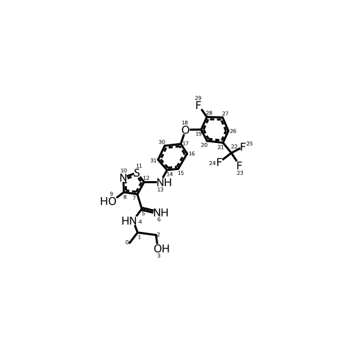 CC(CO)NC(=N)c1c(O)nsc1Nc1ccc(Oc2cc(C(F)(F)F)ccc2F)cc1